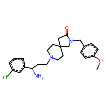 COc1ccc(CN2CC3(CCN(CC[C@H](N)c4cccc(Cl)c4)CC3)CC2=O)cc1